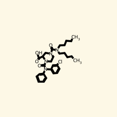 CCCCCN(CCCCC)C(=O)N1CCN(C(=O)N(c2ccccc2)c2cccc(Cl)c2)C(C(=O)O)C1